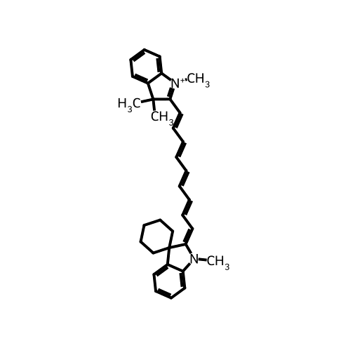 CN1/C(=C/C=C/C=C/C=C/C=C/C2=[N+](C)c3ccccc3C2(C)C)C2(CCCCC2)c2ccccc21